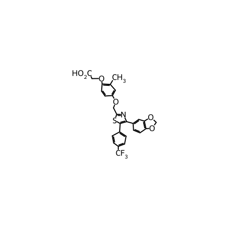 Cc1cc(OCc2nc(-c3ccc4c(c3)OCO4)c(-c3ccc(C(F)(F)F)cc3)s2)ccc1OCC(=O)O